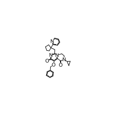 O=C1c2c(OCc3ccccc3)c(=O)nc(CC3(c4ccccn4)CCCC3)n2CCN1C1CC1